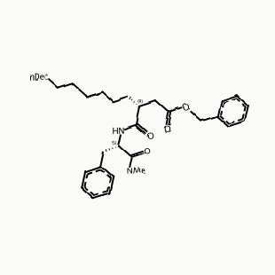 CCCCCCCCCCCCCCCC[C@H](CC(=O)OCc1ccccc1)C(=O)N[C@@H](Cc1ccccc1)C(=O)NC